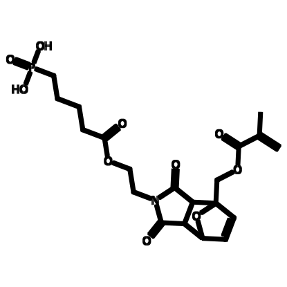 C=C(C)C(=O)OCC12C=CC(O1)C1C(=O)N(CCOC(=O)CCCCP(=O)(O)O)C(=O)C12